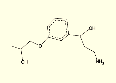 CC(O)COc1cccc(C(O)CCN)c1